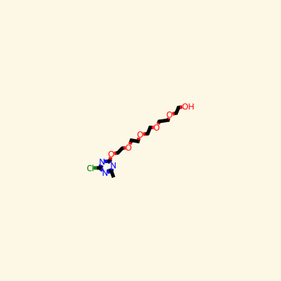 Cc1nc(Cl)nc(OCCOCCOCCOCCOCCO)n1